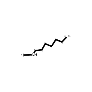 CC(C)CCCCCCNI